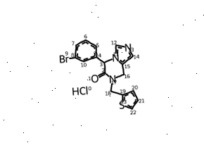 Cl.O=C1C(c2cccc(Br)c2)n2cncc2CN1Cc1cccs1